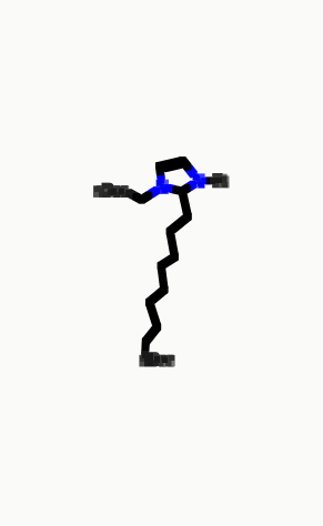 CCCCCCCCCCCCCCCCCCC1N(CC)C=CN1CCCCCCCCCCC